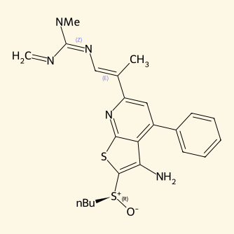 C=N/C(=N\C=C(/C)c1cc(-c2ccccc2)c2c(N)c([S@@+]([O-])CCCC)sc2n1)NC